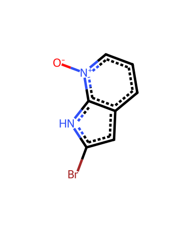 [O-][n+]1cccc2cc(Br)[nH]c21